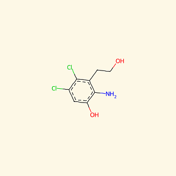 Nc1c(O)cc(Cl)c(Cl)c1CCO